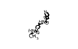 CCCNC(=O)N1CCC2(CC1)CC2CNC(=O)c1cc2ccncc2o1